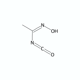 CC(N=C=O)=NO